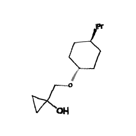 CC(C)[C@H]1CC[C@H](OCC2(O)CC2)CC1